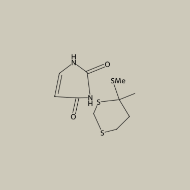 CSC1(C)CCSCS1.O=c1cc[nH]c(=O)[nH]1